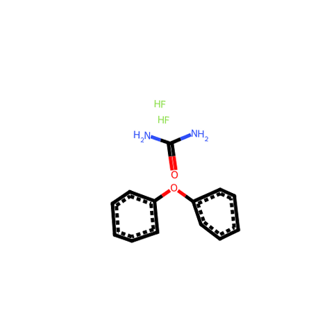 F.F.NC(N)=O.c1ccc(Oc2ccccc2)cc1